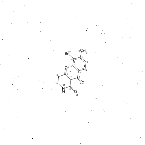 Cc1ccc(C(=O)C2C(=O)CCNC2=O)cc1Br